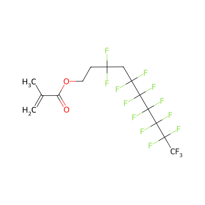 C=C(C)C(=O)OCCC(F)(F)CC(F)(F)C(F)(F)C(F)(F)C(F)(F)C(F)(F)C(F)(F)F